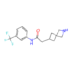 O=C(CC1CC2(CNC2)C1)Nc1cccc(C(F)(F)F)c1